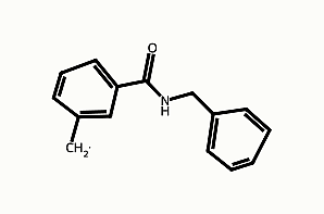 [CH2]c1cccc(C(=O)NCc2ccccc2)c1